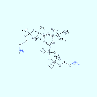 CC(C)(CCCN)CC(C)(C)c1cc(C(C)(C)C)cc(C(C)(C)CC(C)(C)CCCN)c1